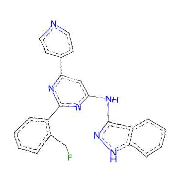 FCc1ccccc1-c1nc(Nc2n[nH]c3ccccc23)cc(-c2ccncc2)n1